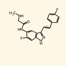 CNCC(=O)Nc1cc2c(/C=C/c3ccc(F)cc3)n[nH]c2cc1F